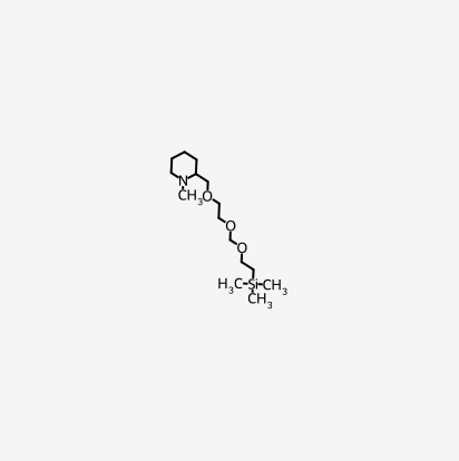 CN1CCCCC1COCCOCOCC[Si](C)(C)C